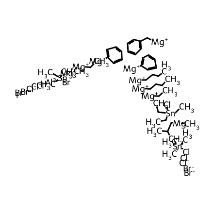 CCC[CH2][Mg+].CCC[CH2][Mg+].C[CH2][Mg+].C[CH2][Mg+].C[CH2][Sn]([Cl])([CH2]C)[CH2]C.[Al+3].[Br-].[Br-].[Br-].[Br-].[CH3][Mg+].[CH3][Mg][CH2]C(C)C.[CH3][Sn]([CH3])([CH3])[Br].[CH3][Sn]([CH3])([CH3])[Cl].[Cl-].[Cl-].[Cl-].[Cl-].[Cl-].[I-].[Mg+][CH2]c1ccccc1.[Mg+][c]1ccccc1.[Mg+][c]1ccccc1